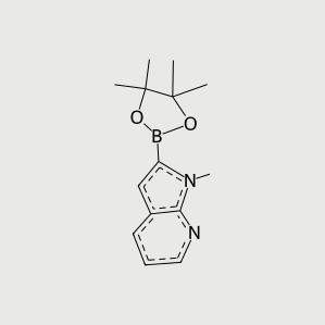 Cn1c(B2OC(C)(C)C(C)(C)O2)cc2cccnc21